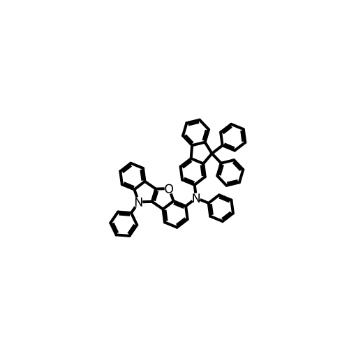 c1ccc(N(c2ccc3c(c2)C(c2ccccc2)(c2ccccc2)c2ccccc2-3)c2cccc3c2oc2c4ccccc4n(-c4ccccc4)c32)cc1